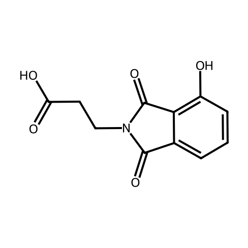 O=C(O)CCN1C(=O)c2cccc(O)c2C1=O